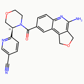 N#Cc1ccc([C@H]2COCCN2C(=O)c2ccc3nc(N)c4c(c3c2)COC4)nc1